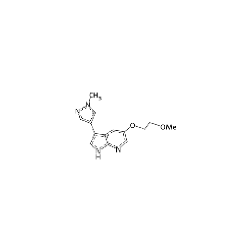 COCCOc1cnc2[nH]cc(-c3cnn(C)c3)c2c1